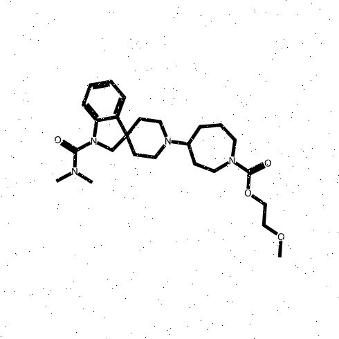 COCCOC(=O)N1CCCC(N2CCC3(CC2)CN(C(=O)N(C)C)c2ccccc23)CC1